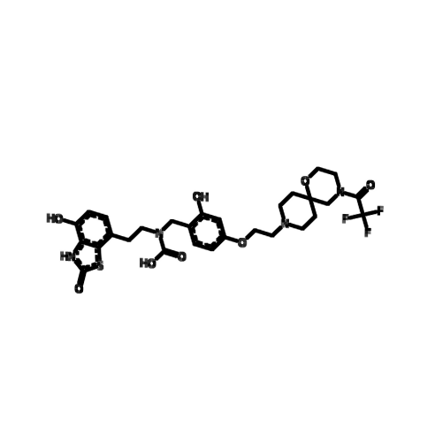 O=C(O)N(CCc1ccc(O)c2[nH]c(=O)sc12)Cc1ccc(OCCN2CCC3(CC2)CN(C(=O)C(F)(F)F)CCO3)cc1O